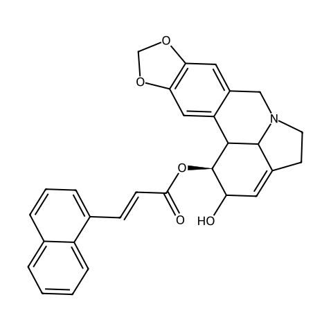 O=C(/C=C/c1cccc2ccccc12)O[C@@H]1C(O)C=C2CCN3Cc4cc5c(cc4C1C23)OCO5